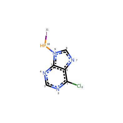 Clc1ncnc2c1ncn2PI